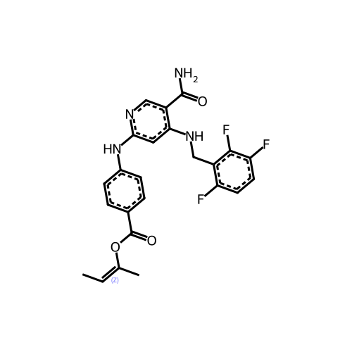 C/C=C(/C)OC(=O)c1ccc(Nc2cc(NCc3c(F)ccc(F)c3F)c(C(N)=O)cn2)cc1